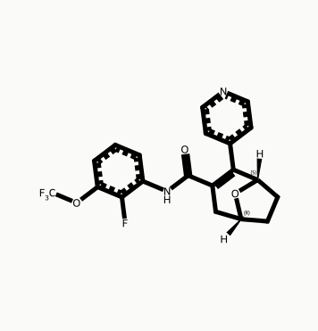 O=C(Nc1cccc(OC(F)(F)F)c1F)C1=C(c2ccncc2)[C@@H]2CC[C@H](C1)O2